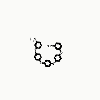 Nc1cccc(Oc2ccc(Oc3ccc(Oc4ccc(Oc5cccc(N)c5)cc4)cc3)cc2)c1